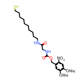 COc1cc(COC(=O)NCC(=O)NCCCCCCCCCCS)c([N+](=O)[O-])cc1OC